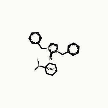 IN(I)C12CCC(CC1)CC2.[Pt]=[c]1n(Cc2ccccc2)ccn1Cc1ccccc1